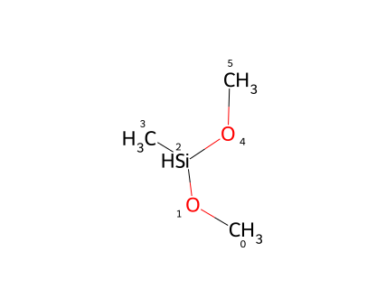 CO[SiH](C)OC